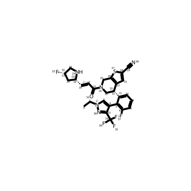 CCn1cc(-c2c(F)cccc2[C@@H]2CN(C(=O)/C=C/[C@@H]3C[C@H](F)CN3)Cc3sc(C#N)cc32)c(C(F)(F)F)n1